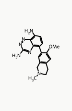 COc1cc2c(cc1-c1ccc(N)c3nnc(N)nc13)CN(C)CC2